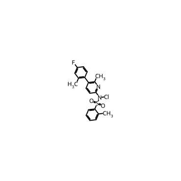 Cc1cc(F)ccc1-c1ccc(N(Cl)S(=O)(=O)c2ccccc2C)nc1C